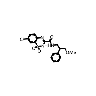 COCC(CNC(=O)C1=Nc2ccc(Cl)cc2S(=O)(=O)N1)c1ccccc1